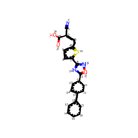 N#C/C(=C/c1ccc(-c2noc(-c3ccc(-c4ccccc4)cc3)n2)s1)C(=O)O